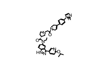 CCN(C(=O)[C@@H]1CCN(CC(=O)N2CC=C(c3ccc(-n4ccnn4)cc3)CC2)C1)c1ccc2[nH]nc(-c3ccc(OC(C)C)nc3)c2c1